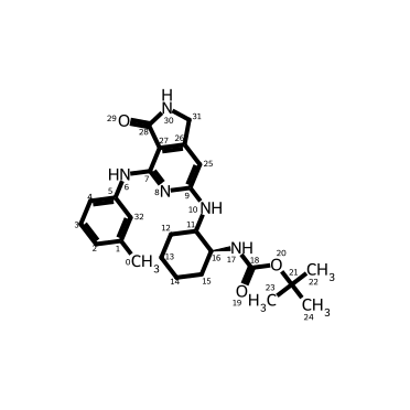 Cc1cccc(Nc2nc(NC3CCCC[C@@H]3NC(=O)OC(C)(C)C)cc3c2C(=O)NC3)c1